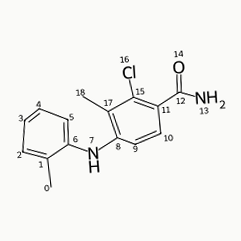 Cc1ccccc1Nc1ccc(C(N)=O)c(Cl)c1C